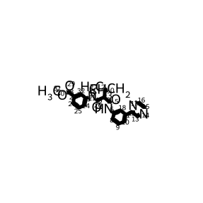 C=C(C)C(C(=O)Nc1cccc(-c2cnccn2)c1)C(=O)N(C)c1cccc(C(=O)OC)c1